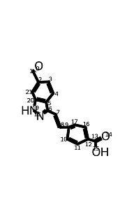 O=Cc1ccc2c(C=Cc3ccc(C(=O)O)cc3)n[nH]c2c1